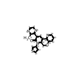 Cc1nccnc1-c1cc2c(n(-c3ccsc3)c1=O)COc1cccnc1-2